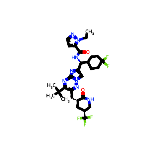 CCn1nccc1C(=O)N[C@H](c1cn2nc(C[C@H]3C[C@H](C(F)(F)F)CNC3=O)c(C(C)(C)C)nc2n1)C1CCC(F)(F)CC1